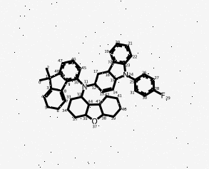 CC1(C)C2=CCCC=C2c2c(N(C3C=CC4C(C3)c3ccccc3N4c3ccc(F)cc3)C3CCCC4OC5CCCCC5C43)cccc21